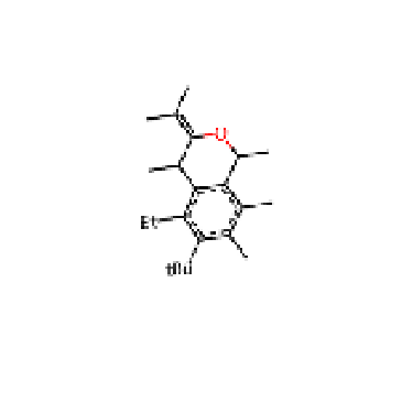 CCc1c2c(c(C)c(C)c1C(C)(C)C)C(C)OC(=C(C)C)C2C